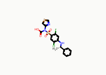 C[C@H](Nc1cc(F)c(S(=O)(=O)N(C(=O)O)c2cscn2)cc1Cl)c1ccccc1